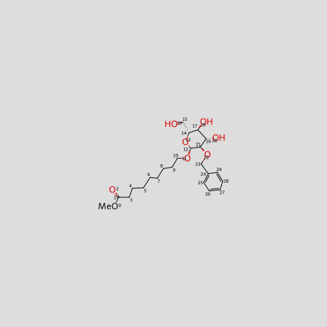 COC(=O)CCCCCCCCO[C@H]1O[C@H](CO)[C@@H](O)[C@H](O)[C@H]1OCc1ccccc1